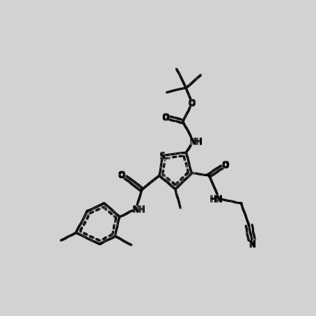 Cc1ccc(NC(=O)c2sc(NC(=O)OC(C)(C)C)c(C(=O)NCC#N)c2C)c(C)c1